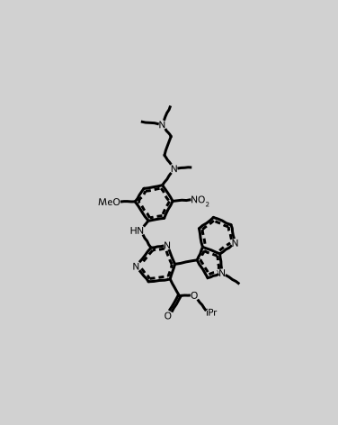 COc1cc(N(C)CCN(C)C)c([N+](=O)[O-])cc1Nc1ncc(C(=O)OC(C)C)c(-c2cn(C)c3ncccc23)n1